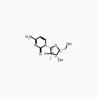 C[C@@]1(F)[C@@H](O)[C@@H](CO)O[C@H]1n1ccc(N)nc1=O